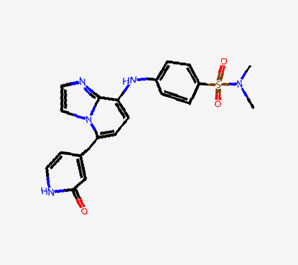 CN(C)S(=O)(=O)c1ccc(Nc2ccc(-c3cc[nH]c(=O)c3)n3ccnc23)cc1